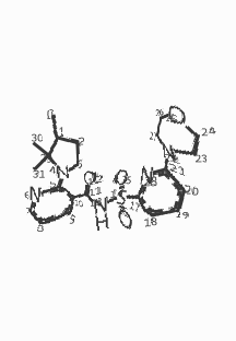 CC1CCN(c2ncccc2C(=O)NS(=O)(=O)c2cccc(N3CCOCC3)n2)C1(C)C